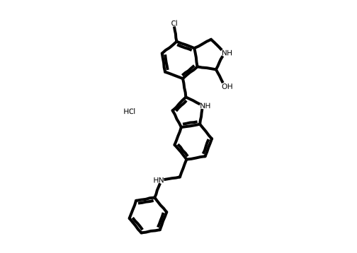 Cl.OC1NCc2c(Cl)ccc(-c3cc4cc(CNc5ccccc5)ccc4[nH]3)c21